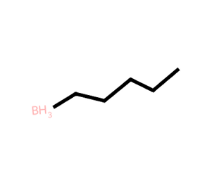 B.CCCCCC